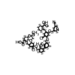 COC(=O)COc1cc(OCc2cccc(-c3cccc(COc4cc(OCc5cncc(C#N)c5)c(CN5CCCC[C@H]5C(=O)O)cc4Cl)c3C)c2C)c(Cl)cc1CN1CCCC[C@H]1C(=O)O